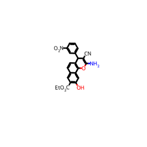 CCOC(=O)c1cc2ccc3c(c2cc1O)OC(N)=C(C#N)C3c1cccc([N+](=O)[O-])c1